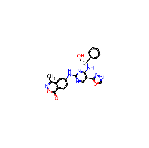 Cc1noc(=O)c2ccc(Nc3ncc(-c4nnco4)c(N[C@H](CO)c4ccccc4)n3)cc12